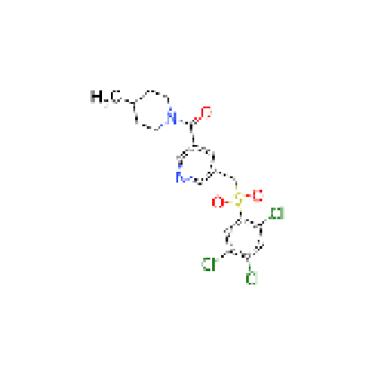 CC1CCN(C(=O)c2cncc(CS(=O)(=O)c3cc(Cl)c(Cl)cc3Cl)c2)CC1